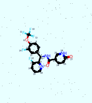 O=C(N[C@H](c1ccc(OC(F)(F)F)c(F)c1)c1ncccc1F)c1ccc(=O)[nH]c1